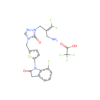 NCC(Cn1ncn(Cc2ccc(N3C(=O)Cc4cccc(F)c43)s2)c1=O)=C(F)F.O=C(O)C(F)(F)F